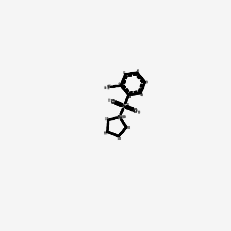 O=S(=O)(c1ccccc1F)N1CCCC1